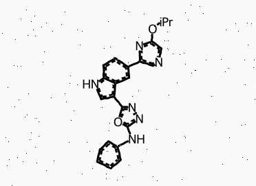 CC(C)Oc1cncc(-c2ccc3[nH]cc(-c4nnc(Nc5ccccc5)o4)c3c2)n1